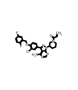 C=CC(=O)N1CCCC(n2nc(-c3ccc(OCc4cc(F)ccc4F)c(Cl)c3)c3c(N)ncnc32)C1